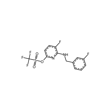 O=S(=O)(Oc1ccc(F)c(NCc2cccc(F)c2)n1)C(F)(F)F